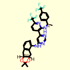 C[C@@H](Nc1nc(C(F)(F)F)ccc1-c1cc(Nc2cccc3c2C[C@@H]2OC(C)(C)O[C@@H]2C3)ncn1)c1ccc(C(F)(F)F)cc1